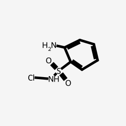 Nc1ccccc1S(=O)(=O)NCl